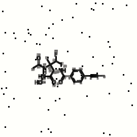 CC#Cc1ccc(C(=O)N[C@H](C(=O)NO)C(C)(NC(C)=O)C(F)F)cc1